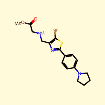 COC(=O)CNCc1nc(-c2ccc(N3CCCC3)cc2)sc1Br